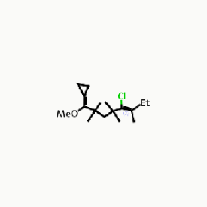 CC/C(C)=C(\Cl)C(C)(C)CC(C)(C)C(OC)=C1CC1